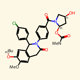 CC[C@@H](C)Oc1cc2c(cc1OC)CC(=O)N(c1ccc(C(=O)N3C[C@@H](O)C[C@H]3OC(=O)NC)cc1)C2c1ccc(Cl)cc1